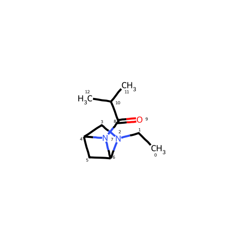 CCN1CC2CC1N2C(=O)C(C)C